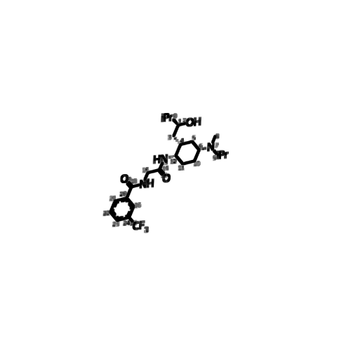 CC(C)[C@@H](O)C[C@@H]1C[C@H](N(C)C(C)C)CC[C@@H]1NC(=O)CNC(=O)c1cccc(C(F)(F)F)c1